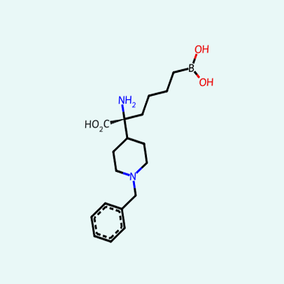 N[C@@](CCCCB(O)O)(C(=O)O)C1CCN(Cc2ccccc2)CC1